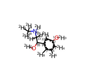 [2H]Oc1c([2H])c([2H])c([2H])c([C@@H](O[2H])C([2H])([2H])N([2H])C([2H])([2H])[2H])c1[2H]